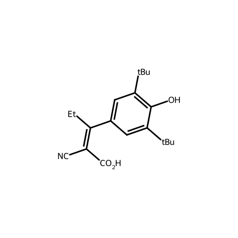 CCC(=C(C#N)C(=O)O)c1cc(C(C)(C)C)c(O)c(C(C)(C)C)c1